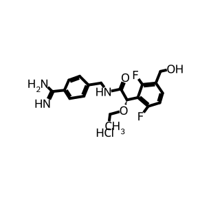 CCO[C@H](C(=O)NCc1ccc(C(=N)N)cc1)c1c(F)ccc(CO)c1F.Cl